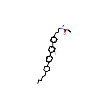 C=CC(=O)N(C)CCCc1ccc(-c2ccc(-c3ccc(C4CCC(CCCCC)CC4)cc3)c(F)c2)cc1